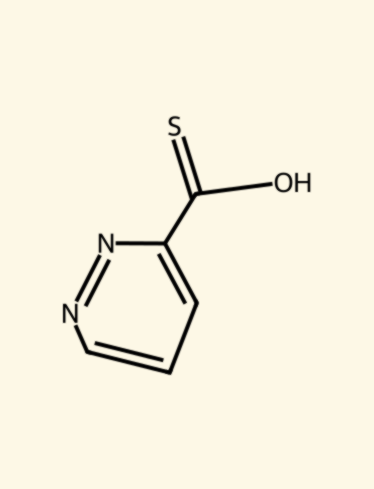 OC(=S)c1cccnn1